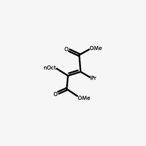 CCCCCCCCC(C(=O)OC)=C(C(=O)OC)C(C)C